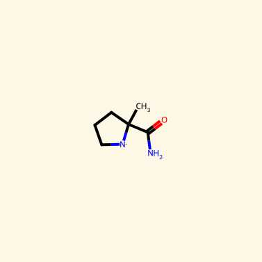 CC1(C(N)=O)CCC[N]1